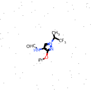 CC(C)Oc1nn(C(C)C(F)(F)F)cc1NC=O